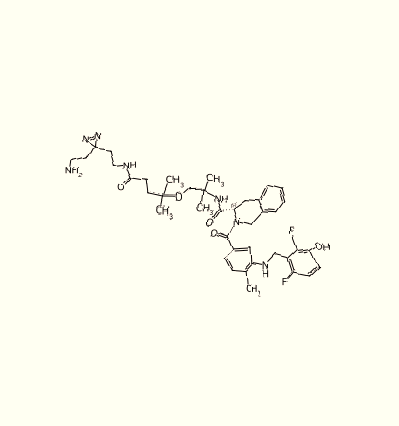 Cc1ccc(C(=O)N2Cc3ccccc3C[C@H]2C(=O)NC(C)(C)COC(C)(C)CCC(=O)NCCC2(CCN)N=N2)cc1NCc1c(F)ccc(O)c1F